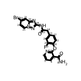 NC(=O)c1cccnc1Oc1ccc(CC(=O)Nc2nc3cc(Br)ccn3n2)cc1F